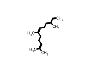 C=C/C(C)=C/CC=C(C)CCC=C(C)C